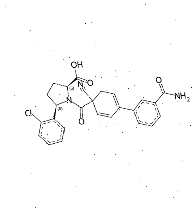 N#CC1(C(=O)N2[C@@H](c3ccccc3Cl)CC[C@H]2C(=O)O)C=CC(c2cccc(C(N)=O)c2)=CC1